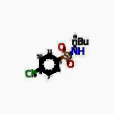 CC[CH]CNS(=O)(=O)c1ccc(Cl)cc1